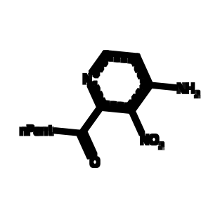 CCCCCC(=O)c1nccc(N)c1[N+](=O)[O-]